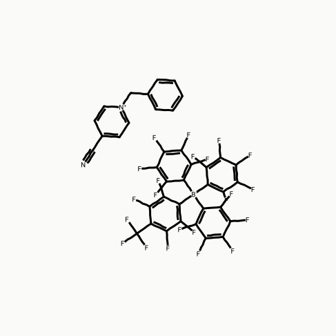 Fc1c(F)c(F)c([B-](c2c(F)c(F)c(F)c(F)c2F)(c2c(F)c(F)c(F)c(F)c2F)c2c(F)c(F)c(C(F)(F)F)c(F)c2F)c(F)c1F.N#Cc1cc[n+](Cc2ccccc2)cc1